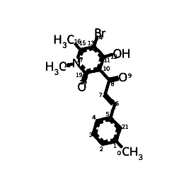 Cc1cccc(/C=C/C(=O)c2c(O)c(Br)c(C)n(C)c2=O)c1